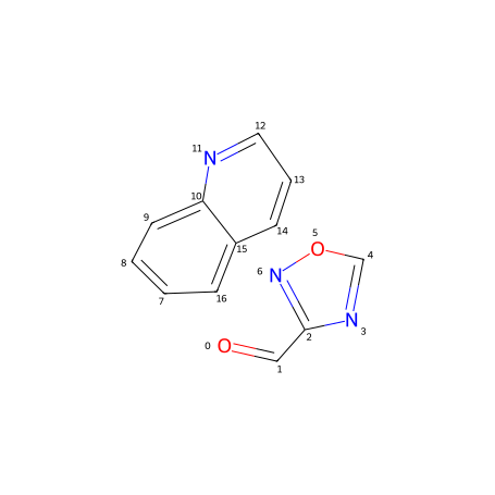 O=Cc1ncon1.c1ccc2ncccc2c1